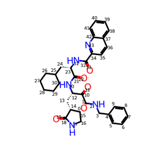 O=C(NCc1ccccc1)C(=O)[C@H](C[C@@H]1CCNC1=O)NC(=O)[C@H](CC1CCCCC1)NC(=O)c1ccc2ccccc2n1